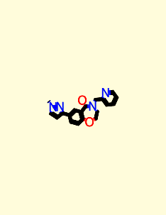 Cn1ccc(-c2ccc3c(c2)C(=O)N(Cc2ccccn2)CCO3)n1